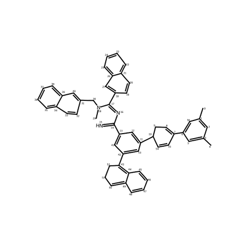 Cc1cc(C)cc(C2=CCC(c3cc(C(=N)/N=C(/c4ccc5ccccc5c4)N(C)Cc4ccc5ccccc5c4)cc(C4=c5ccccc5=CCC4)c3)C=C2)c1